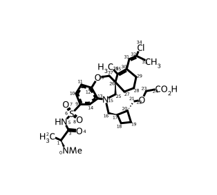 CN[C@@H](C)C(=O)NS(=O)(=O)c1ccc2c(c1)N(C[C@@H]1CC[C@H]1COCC(=O)O)C[C@@]1(CCCC(/C=C(\C)Cl)=C1C)CO2